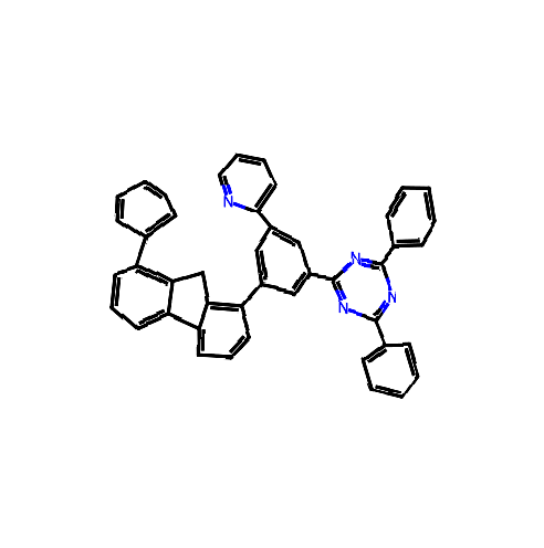 c1ccc(-c2nc(-c3ccccc3)nc(-c3cc(-c4ccccn4)cc(-c4cccc5c4Cc4c(-c6ccccc6)cccc4-5)c3)n2)cc1